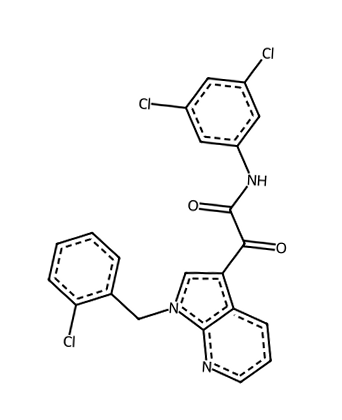 O=C(Nc1cc(Cl)cc(Cl)c1)C(=O)c1cn(Cc2ccccc2Cl)c2ncccc12